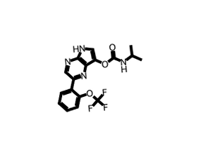 CC(C)NC(=O)Oc1c[nH]c2ncc(-c3ccccc3OC(F)(F)F)nc12